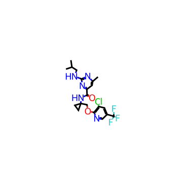 Cc1cc(C(=O)NC2(COc3ncc(C(F)(F)F)cc3Cl)CC2)nc(NCC(C)C)n1